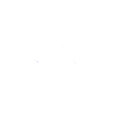 Cl.N[C@@H]1C[C@H]1c1ccc(C(=O)N2CCCCC2)cc1